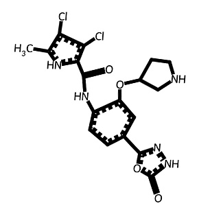 Cc1[nH]c(C(=O)Nc2ccc(-c3n[nH]c(=O)o3)cc2OC2CCNC2)c(Cl)c1Cl